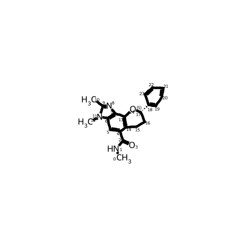 CNC(=O)c1cc2c(nc(C)n2C)c2c1CC[C@@H](c1ccccc1)O2